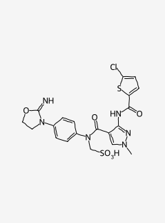 Cn1cc(C(=O)N(CS(=O)(=O)O)c2ccc(N3CCOC3=N)cc2)c(NC(=O)c2ccc(Cl)s2)n1